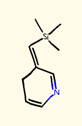 C[Si](C)(C)C=C1C=NC=CC1